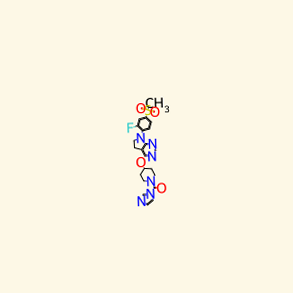 CS(=O)(=O)c1ccc(N2CCc3c(OC4CCN(C(=O)n5ccnc5)CC4)ncnc32)c(F)c1